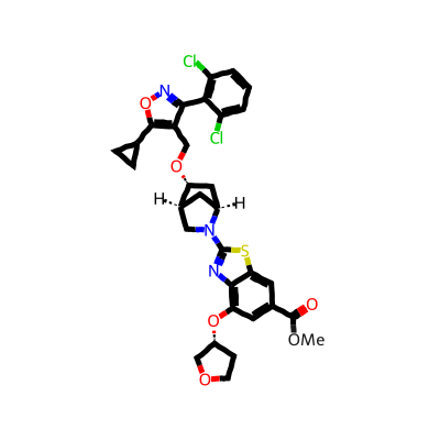 COC(=O)c1cc(O[C@@H]2CCOC2)c2nc(N3C[C@@H]4C[C@H]3C[C@H]4OCc3c(-c4c(Cl)cccc4Cl)noc3C3CC3)sc2c1